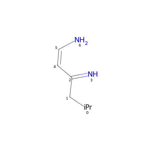 CC(C)CC(=N)/C=C\N